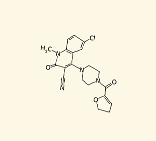 Cn1c(=O)c(C#N)c(N2CCN(C(=O)C3=CCCO3)CC2)c2cc(Cl)ccc21